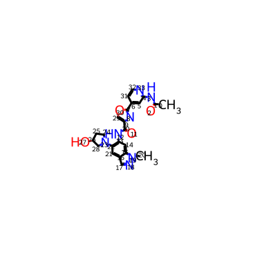 CC(=O)Nc1cc(-c2nc(C(=O)Nc3cc4c(cnn4C)cc3N3CC[C@H](O)C3)co2)ccn1